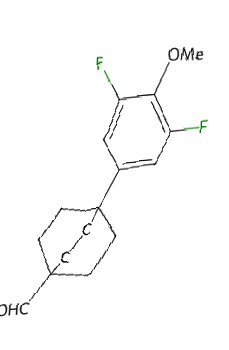 COc1c(F)cc(C23CCC(C=O)(CC2)CC3)cc1F